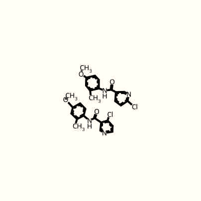 COc1ccc(NC(=O)c2ccc(Cl)nc2)c(C)c1.COc1ccc(NC(=O)c2cnccc2Cl)c(C)c1